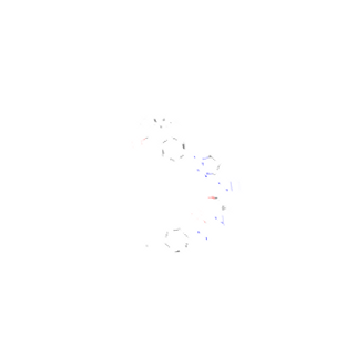 COC(=O)c1ccc(-n2ccc(NC(=O)[C@H]3CCCN3C(=O)Nc3ccc(C(F)(F)F)cc3)n2)cc1C